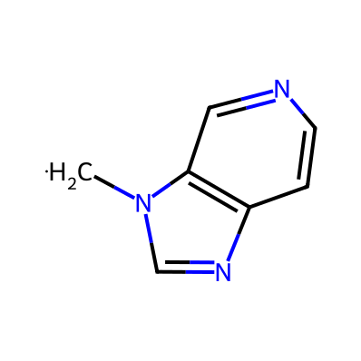 [CH2]n1cnc2ccncc21